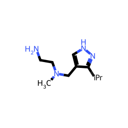 CC(C)c1n[nH]cc1CN(C)CCN